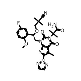 COc1ccc(F)cc1[C@H](Cn1c(=O)n(C(C)(C)C(N)=O)c(=O)c2c(C)c(-n3nccn3)sc21)OCC(C)(C)C#N